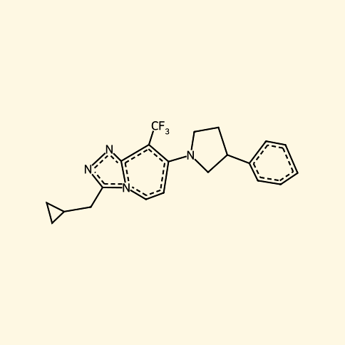 FC(F)(F)c1c(N2CCC(c3ccccc3)C2)ccn2c(CC3CC3)nnc12